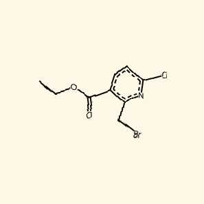 CCOC(=O)c1ccc(Cl)nc1CBr